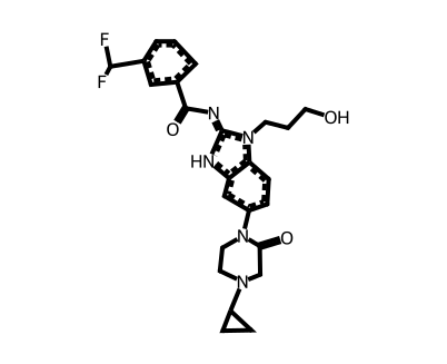 O=C(/N=c1\[nH]c2cc(N3CCN(C4CC4)CC3=O)ccc2n1CCCO)c1cccc(C(F)F)c1